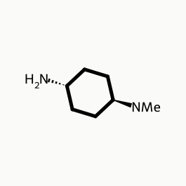 [CH2-][NH2+][C@H]1CC[C@H](N)CC1